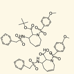 COc1ccc(S(=O)(=O)N2CC=CCC(NS(=O)(=O)Cc3ccccc3)C2C(=O)O)cc1.COc1ccc(S(=O)(=O)N2CC=CCC(NS(=O)(=O)Cc3ccccc3)C2C(=O)OC(C)(C)C)cc1